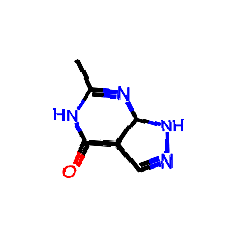 CC1=NC2NN=CC2C(=O)N1